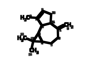 C=C1CCC2C(C3C(C)=CCC13)C2(C)C